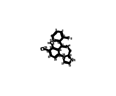 Fc1cccnc1C1=NCc2nccn2-c2ccc(Cl)c(Cl)c21